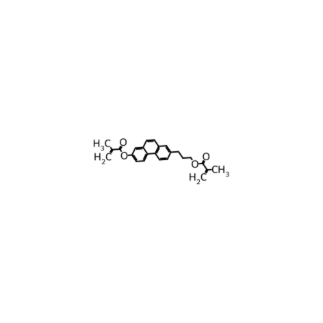 C=C(C)C(=O)OCCCc1ccc2c(ccc3cc(OC(=O)C(=C)C)ccc32)c1